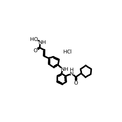 Cl.O=C(C=Cc1ccc(Nc2ccccc2NC(=O)C2CCCCC2)cc1)NO